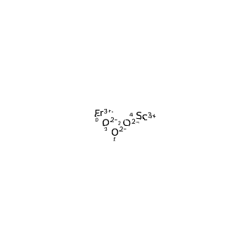 [Er+3].[O-2].[O-2].[O-2].[Sc+3]